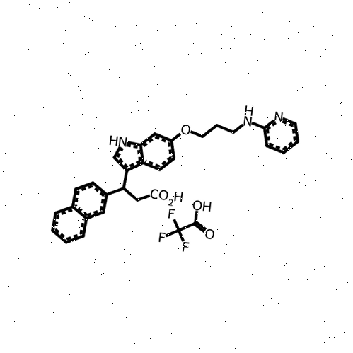 O=C(O)C(F)(F)F.O=C(O)CC(c1ccc2ccccc2c1)c1c[nH]c2cc(OCCCNc3ccccn3)ccc12